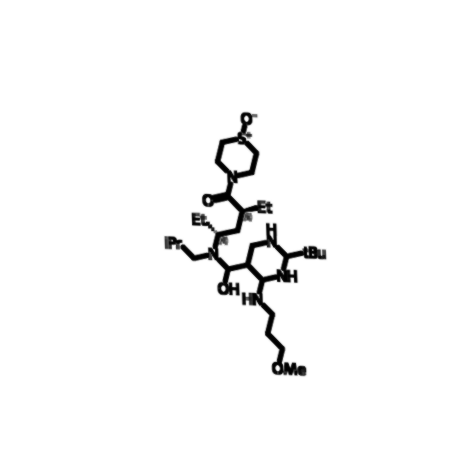 CC[C@@H](C[C@@H](CC)N(CC(C)C)C(O)C1CNC(C(C)(C)C)NC1NCCCOC)C(=O)N1CC[S+]([O-])CC1